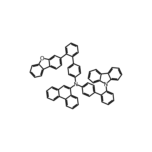 c1ccc(-c2ccc3c(c2)oc2ccccc23)c(-c2ccc(N(c3ccc(-c4ccccc4-n4c5ccccc5c5ccccc54)cc3)c3cc4ccccc4c4ccccc34)cc2)c1